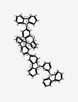 c1cc(-n2c3ccccc3c3ccccc32)nc(-n2c3ccccc3c3cc(-c4cnc5c(c4)C4(c6ccccc6Oc6cc(-n7c8ccccc8c8ccccc87)ccc64)c4cccnc4-5)ccc32)c1